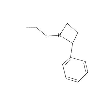 CCCN1CCC1c1ccccc1